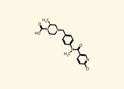 C[C@H]1CN(Cc2ccc(N(C)C(=O)c3ccc(Cl)nc3)cc2)CCN1C(=O)O